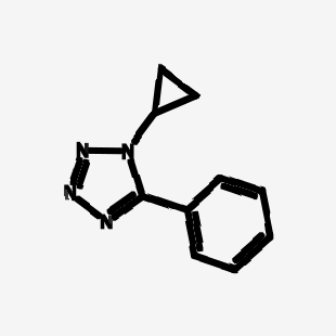 c1ccc(-c2nnnn2C2CC2)cc1